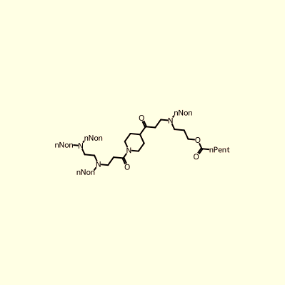 CCCCCCCCCN(CCCOC(=O)CCCCC)CCC(=O)C1CCN(C(=O)CCN(CCCCCCCCC)CCN(CCCCCCCCC)CCCCCCCCC)CC1